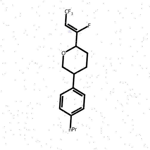 CCCc1ccc(C2CCC(/C(F)=C/C(F)(F)F)OC2)cc1